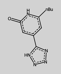 CCCCc1cc(-c2nnn[nH]2)cc(=O)[nH]1